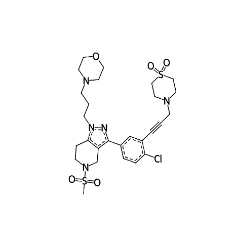 CS(=O)(=O)N1CCc2c(c(-c3ccc(Cl)c(C#CCN4CCS(=O)(=O)CC4)c3)nn2CCCN2CCOCC2)C1